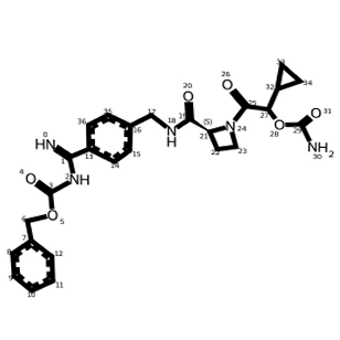 N=C(NC(=O)OCc1ccccc1)c1ccc(CNC(=O)[C@@H]2CCN2C(=O)C(OC(N)=O)C2CC2)cc1